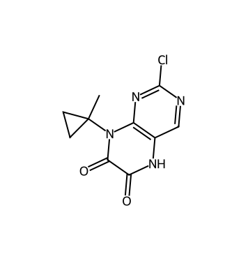 CC1(n2c(=O)c(=O)[nH]c3cnc(Cl)nc32)CC1